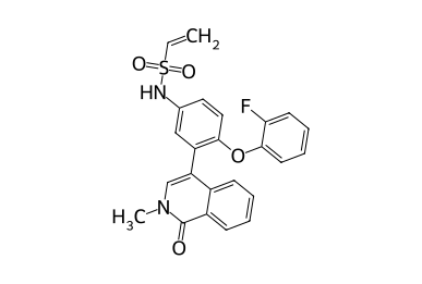 C=CS(=O)(=O)Nc1ccc(Oc2ccccc2F)c(-c2cn(C)c(=O)c3ccccc23)c1